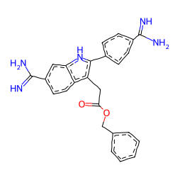 N=C(N)c1ccc(-c2[nH]c3cc(C(=N)N)ccc3c2CC(=O)OCc2ccccc2)cc1